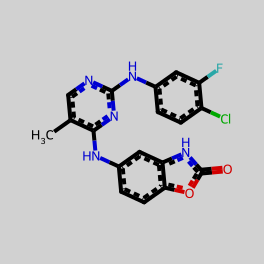 Cc1cnc(Nc2ccc(Cl)c(F)c2)nc1Nc1ccc2oc(=O)[nH]c2c1